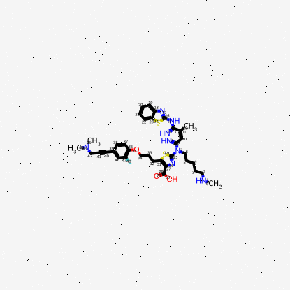 CNCCCCCN(C(=N)/C=C(/C)C(=N)Nc1nc2ccccc2s1)c1nc(C(=O)O)c(CCCOc2ccc(C#CCN(C)C)cc2F)s1